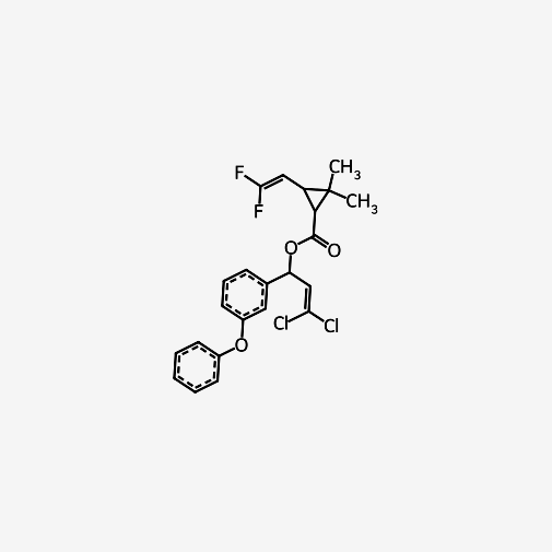 CC1(C)C(C=C(F)F)C1C(=O)OC(C=C(Cl)Cl)c1cccc(Oc2ccccc2)c1